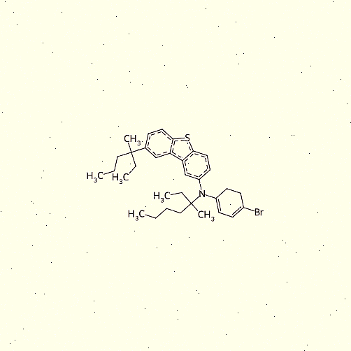 CCCCC(C)(CC)N(C1=CC=C(Br)CC1)c1ccc2sc3ccc(C(C)(CC)CCC)cc3c2c1